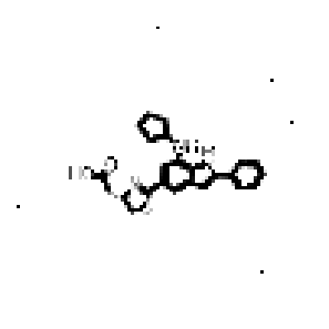 O=C(O)C[C@H]1CSC(c2cc(NC3CCCC3)c3[nH]c(-c4ccccc4)cc3c2)=N1